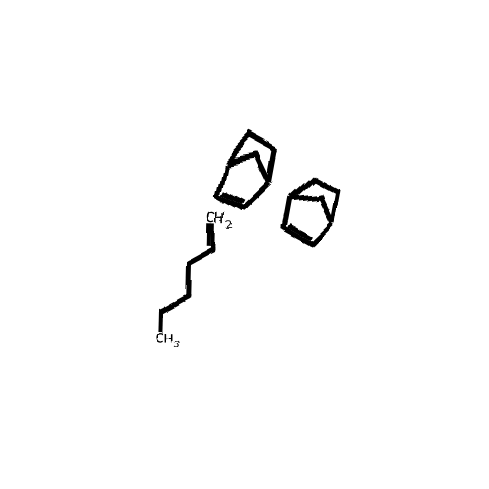 C1=CC2CCC1C2.C1=CC2CCC1C2.C=CCCCC